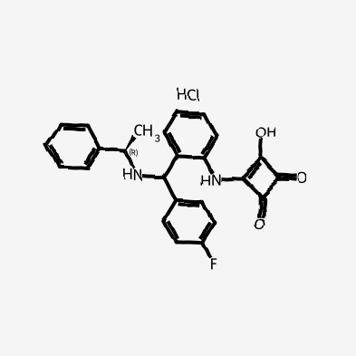 C[C@@H](NC(c1ccc(F)cc1)c1ccccc1Nc1c(O)c(=O)c1=O)c1ccccc1.Cl